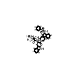 CC(C)(N)C(=O)N[C@H](Cc1c[nH]c2ccccc12)C(=O)N1CCC2(CC1)CC(NS(=O)(=O)c1ccccc1)c1ccccc12.Cl